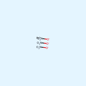 O=[N+]([O-])[O-].O=[N+]([O-])[O-].O=[N+]([O-])[O-].[Pr+3]